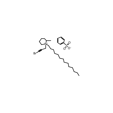 CCCCCCCCCCCCCC[N+]1(CC#CBr)CCCCC1C.O=S(=O)([O-])c1ccccc1